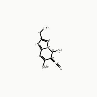 COC1=Nc2nc(COC(C)=O)nn2C(O)C1=C=O